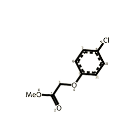 [CH2]OC(=O)COc1ccc(Cl)cc1